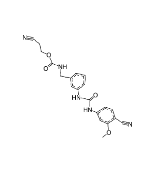 COc1cc(NC(=O)Nc2cccc(CNC(=O)OCCC#N)c2)ccc1C#N